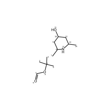 CC(C)(C)OC=O.CC1CC(O)CC(C)N1